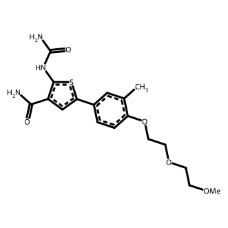 COCCOCCOc1ccc(-c2cc(C(N)=O)c(NC(N)=O)s2)cc1C